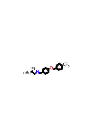 CCCCC(CC)C/N=C/c1ccc(OCc2ccc(C(F)(F)F)cc2)cc1